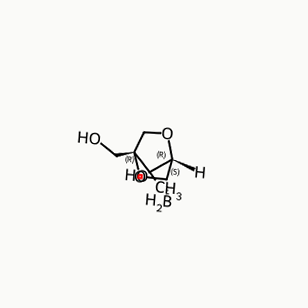 B[C@@H]1O[C@]2(CO)CO[C@H]1C2(C)O